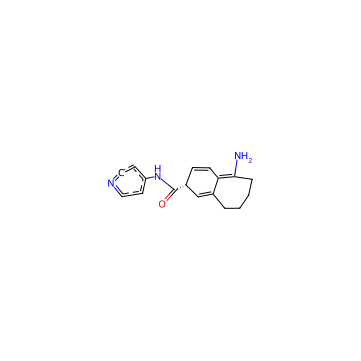 NC1=C2C=C[C@@H](C(=O)Nc3ccncc3)C=C2CCCC1